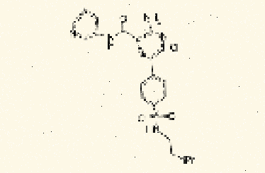 CC(C)CCNS(=O)(=O)c1ccc(-c2cnc(N)c(C(=O)Nc3cccnc3)n2)cc1.Cl